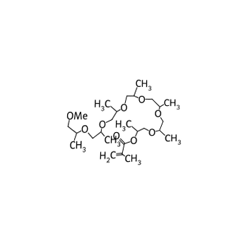 C=C(C)C(=O)OC(C)COC(C)COC(C)COC(C)COC(C)COC(C)COC(C)COC